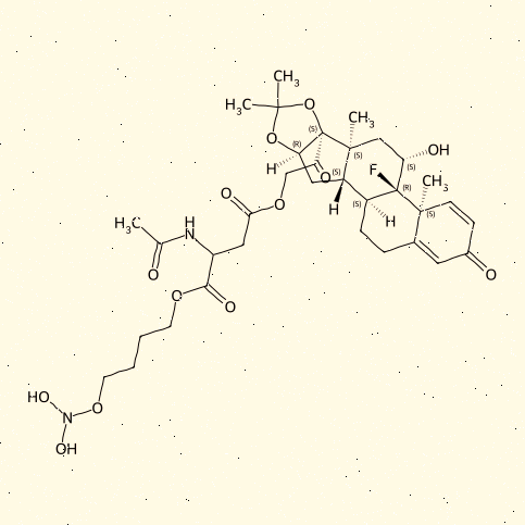 CC(=O)NC(CC(=O)OCC(=O)[C@@]12OC(C)(C)O[C@@H]1C[C@H]1[C@@H]3CCC4=CC(=O)C=C[C@]4(C)[C@@]3(F)[C@@H](O)C[C@@]12C)C(=O)OCCCCON(O)O